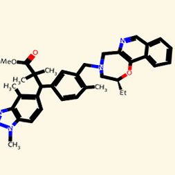 CC[C@H]1CN(Cc2cc(C(c3ccc4c(nnn4C)c3C)C(C)(C)C(=O)OC)ccc2C)Cc2ncc3ccccc3c2O1